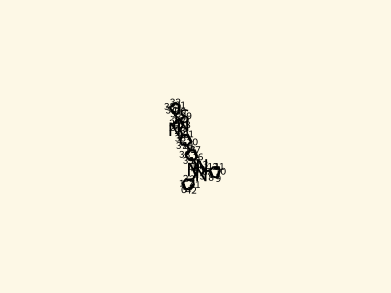 c1ccc(-c2nc(-c3ccccc3)nc(-c3ccc(-c4ccc(-c5ncc6c(n5)sc5ccccc56)cc4)cc3)n2)cc1